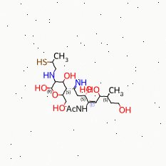 CC(=O)N/C(=C/C(O)[C@@H](C)CCO)[C@@H](O)CC(=N)[C@@H]1C(CO)O[C@@H](O)C(NCC(C)S)C1O